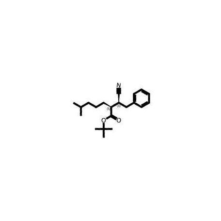 CC(C)CCC[C@H](C(=O)OC(C)(C)C)[C@@H](C#N)Cc1ccccc1